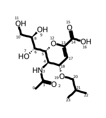 CC(=O)N[C@H]1[C@H]([C@H](O)[C@H](O)CO)OC(C(=O)O)=C[C@@H]1OCC(C)C